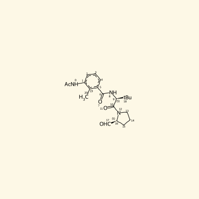 CC(=O)Nc1cccc(C(=O)N[C@H](C(=O)N2CCC[C@H]2C=O)C(C)(C)C)c1C